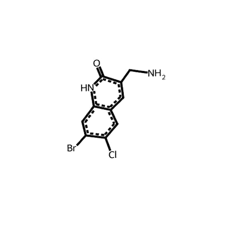 NCc1cc2cc(Cl)c(Br)cc2[nH]c1=O